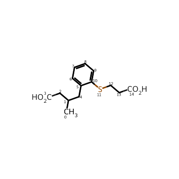 CC(CC(=O)O)Cc1ccccc1SCCC(=O)O